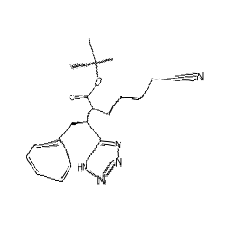 CC(C)(C)OC(=O)C(CCCCC#N)[C@H](Cc1ccccc1)c1nnn[nH]1